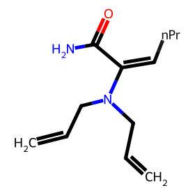 C=CCN(CC=C)/C(=C/CCC)C(N)=O